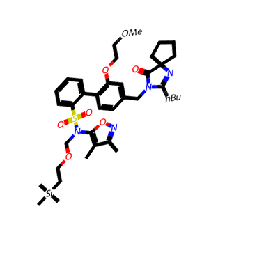 CCCCC1=NC2(CCCC2)C(=O)N1Cc1ccc(-c2ccccc2S(=O)(=O)N(COCC[Si](C)(C)C)c2onc(C)c2C)c(OCCOC)c1